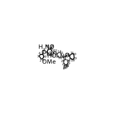 COc1cccc(Oc2ncn(CC3(O)CCN(C(=O)[C@@H]4CCC(F)(F)C[C@H]4c4ccccc4)CC3)c(=O)c2N)c1